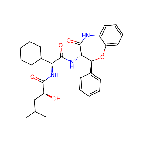 CC(C)C[C@H](O)C(=O)N[C@H](C(=O)N[C@@H]1C(=O)Nc2ccccc2O[C@H]1c1ccccc1)C1CCCCC1